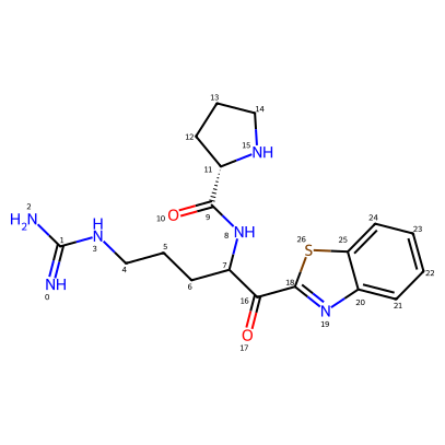 N=C(N)NCCCC(NC(=O)[C@@H]1CCCN1)C(=O)c1nc2ccccc2s1